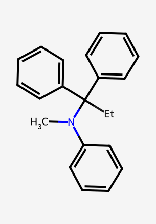 CCC(c1ccccc1)(c1ccccc1)N(C)c1ccccc1